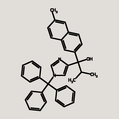 Cc1ccc2cc(C(O)(c3cn(C(c4ccccc4)(c4ccccc4)c4ccccc4)cn3)C(C)C)ccc2c1